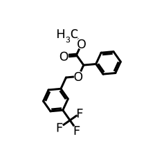 COC(=O)C(OCc1cccc(C(F)(F)F)c1)c1ccccc1